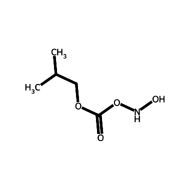 CC(C)COC(=O)ONO